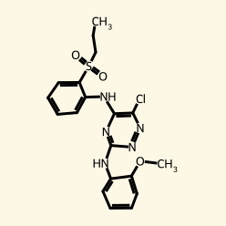 CCCS(=O)(=O)c1ccccc1Nc1nc(Nc2ccccc2OC)nnc1Cl